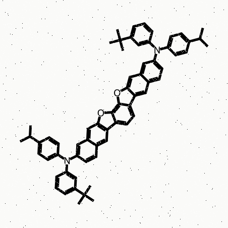 CC(C)c1ccc(N(c2cccc(C(C)(C)C)c2)c2ccc3cc4c(cc3c2)oc2c4ccc3c4cc5ccc(N(c6ccc(C(C)C)cc6)c6cccc(C(C)(C)C)c6)cc5cc4oc32)cc1